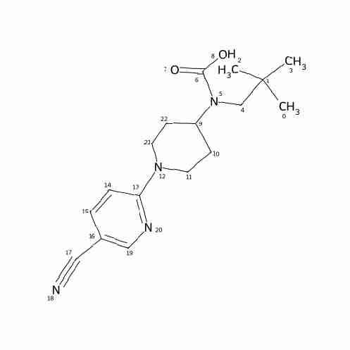 CC(C)(C)CN(C(=O)O)C1CCN(c2ccc(C#N)cn2)CC1